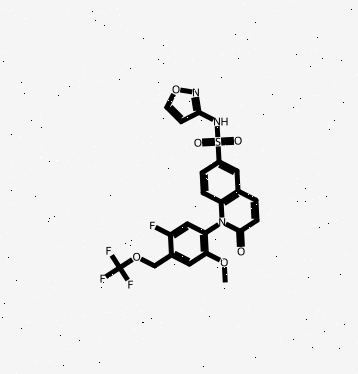 COc1cc(COC(F)(F)F)c(F)cc1-n1c(=O)ccc2cc(S(=O)(=O)Nc3ccon3)ccc21